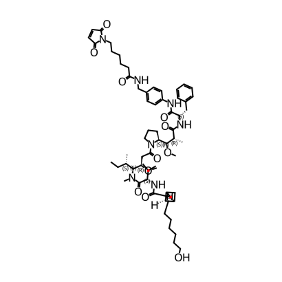 CC[C@H](C)[C@@H]([C@@H](CC(=O)N1CCC[C@H]1[C@H](OC)[C@@H](C)C(=O)N[C@@H](Cc1ccccc1)C(=O)Nc1ccc(CNC(=O)CCCCCN2C(=O)C=CC2=O)cc1)OC)N(C)C(=O)[C@@H](NC(=O)[C@@H]1C2CC(C2)N1CCCCCCO)C(C)C